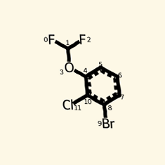 FC(F)Oc1cccc(Br)c1Cl